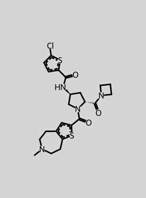 CN1CCc2cc(C(=O)N3C[C@@H](NC(=O)c4ccc(Cl)s4)C[C@@H]3C(=O)N3CCC3)sc2CC1